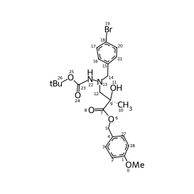 COc1ccc(COC(=O)[C@](C)(O)CN(Cc2ccc(Br)cc2)NC(=O)OC(C)(C)C)cc1